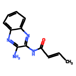 CC=CC(=O)Nc1nc2ccccc2nc1N